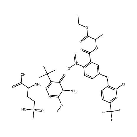 CCOC(=O)C(C)OC(=O)c1cc(Oc2ccc(C(F)(F)F)cc2Cl)ccc1[N+](=O)[O-].CP(=O)(O)CCC(N)C(=O)O.CSc1nnc(C(C)(C)C)c(=O)n1N